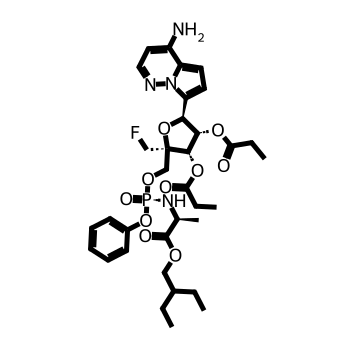 CCC(=O)O[C@H]1[C@H](c2ccc3c(N)ccnn23)O[C@](CF)(CO[P@@](=O)(N[C@@H](C)C(=O)OCC(CC)CC)Oc2ccccc2)[C@H]1OC(=O)CC